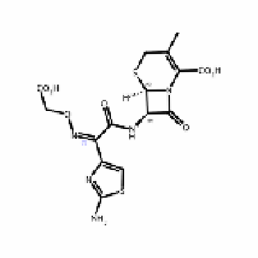 CC1=C(C(=O)O)N2C(=O)[C@@H](NC(=O)/C(=N\OCC(=O)O)c3csc(N)n3)[C@H]2SC1